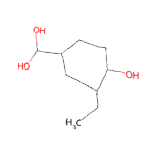 CCC1CC(C(O)O)CCC1O